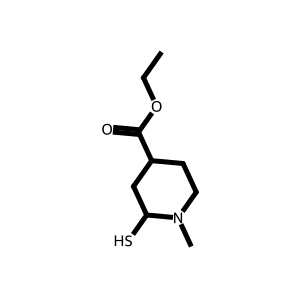 CCOC(=O)C1CCN(C)C(S)C1